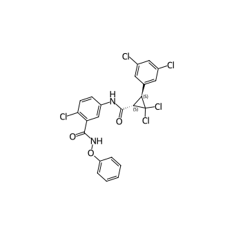 O=C(NOc1ccccc1)c1cc(NC(=O)[C@@H]2[C@@H](c3cc(Cl)cc(Cl)c3)C2(Cl)Cl)ccc1Cl